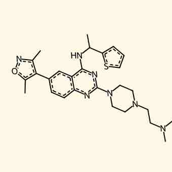 Cc1noc(C)c1-c1ccc2nc(N3CCN(CCN(C)C)CC3)nc(NC(C)c3cccs3)c2c1